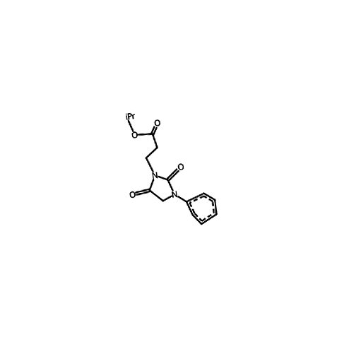 CC(C)OC(=O)CCN1C(=O)CN(c2ccccc2)C1=O